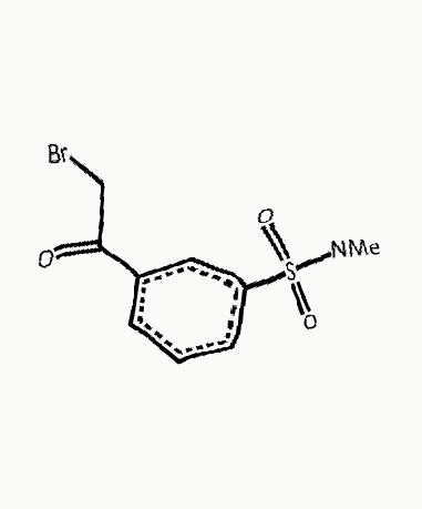 CNS(=O)(=O)c1cccc(C(=O)CBr)c1